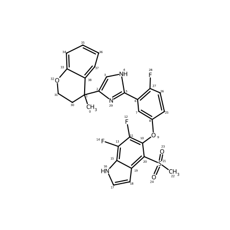 CC1(c2c[nH]c(-c3cc(Oc4c(F)c(F)c5[nH]ccc5c4S(C)(=O)=O)ccc3F)n2)CCOc2ccccc21